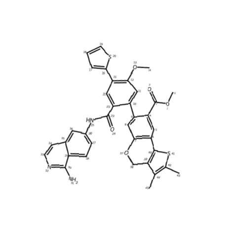 COC(=O)c1cc2c(cc1-c1cc(OC)c(-c3cccs3)cc1C(=O)Nc1ccc3c(N)nccc3c1)OCc1c-2sc(C)c1C